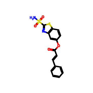 NS(=O)(=O)c1nc2cc(OC(=O)C=Cc3ccccc3)ccc2s1